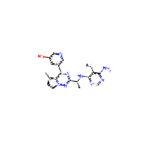 Cc1ccn2nc([C@H](C)Nc3ncnc(N)c3C#N)nc(-c3cncc(O)c3)c12